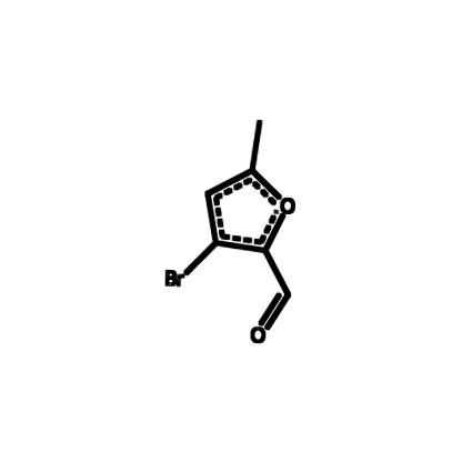 Cc1cc(Br)c(C=O)o1